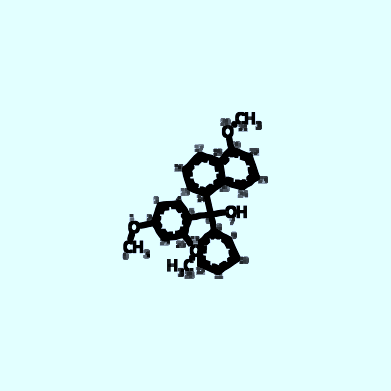 COc1ccc(C(O)(c2ccccc2)c2cccc3c(OC)cccc23)c(OC)c1